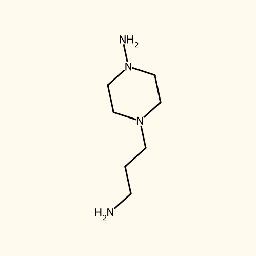 NCCCN1CCN(N)CC1